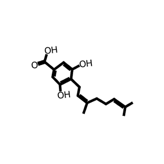 CC(C)=CCCC(C)=CCc1c(O)cc(C(=O)O)cc1O